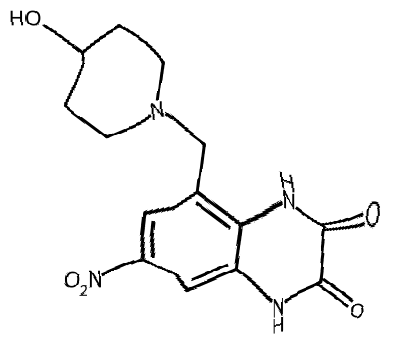 O=c1[nH]c2cc([N+](=O)[O-])cc(CN3CCC(O)CC3)c2[nH]c1=O